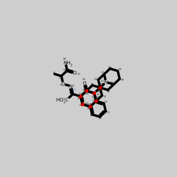 CC(O/N=C(\C(=O)O)c1nc2ccccc2n(C2CC3CCCC(C2)N3C2CC3CCCC(C3)C2)c1=O)C(N)=O